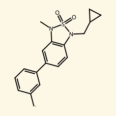 [CH2]c1cccc(-c2ccc3c(c2)N(C)S(=O)(=O)N3CC2CC2)c1